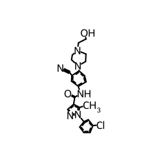 Cc1c(C(=O)Nc2ccc(N3CCN(CCO)CC3)c(C#N)c2)cnn1-c1cccc(Cl)c1